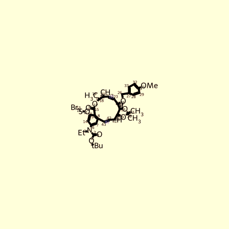 CCN(C(=O)OC(C)(C)C)c1cc2c(c(OSBr)c1)C(=O)O[C@@H](C)[C@H](C)/C=C\[C@@H](OCc1ccc(OC)cc1)[C@H]1OC(C)(C)O[C@H]1C/C=C/2